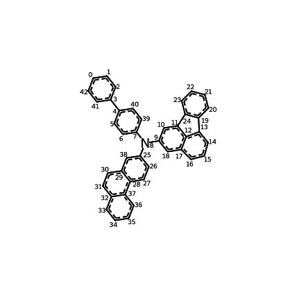 c1ccc(-c2ccc(N(c3cc4c5c(cccc5c3)-c3ccccc3-4)c3ccc4c(ccc5ccccc54)c3)cc2)cc1